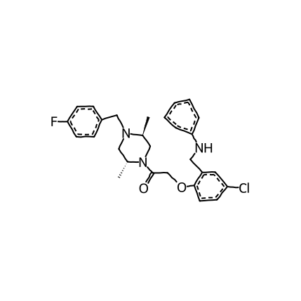 C[C@@H]1CN(Cc2ccc(F)cc2)[C@@H](C)CN1C(=O)COc1ccc(Cl)cc1CNc1ccccc1